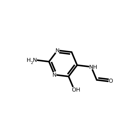 Nc1ncc(NC=O)c(O)n1